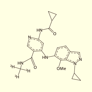 [2H]C([2H])([2H])NC(=O)c1cnc(NC(=O)C2CC2)cc1Nc1ccc2cnn(C3CC3)c2c1OC